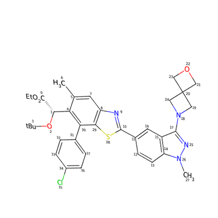 CCOC(=O)[C@@H](OC(C)(C)C)c1c(C)cc2nc(-c3ccc4c(c3)c(N3CC5(COC5)C3)nn4C)sc2c1-c1ccc(Cl)cc1